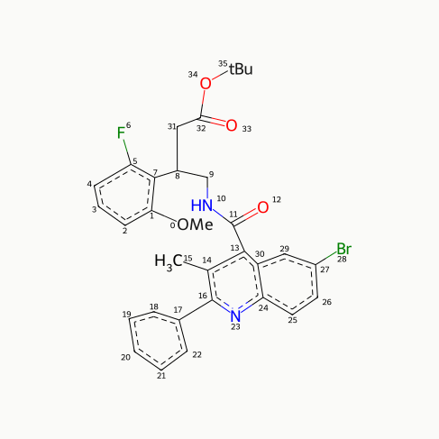 COc1cccc(F)c1C(CNC(=O)c1c(C)c(-c2ccccc2)nc2ccc(Br)cc12)CC(=O)OC(C)(C)C